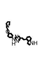 C(=Cc1cccc2[nH]ccc12)c1cnc(Nc2ccc(OCCN3CCCC3)cc2)nc1